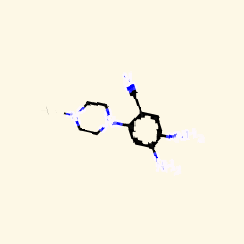 CN1CCN(c2cc(N)c(N)cc2C#N)CC1